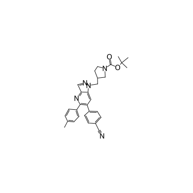 Cc1ccc(-c2nc3cnn(CC4CCN(C(=O)OC(C)(C)C)C4)c3cc2-c2ccc(C#N)cc2)cc1